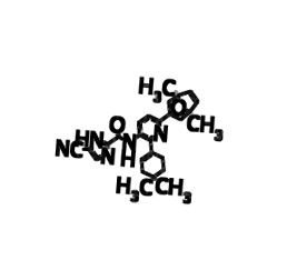 CC1(C)CC=C(c2nc(C3=C[C@@]4(C)C=C[C@@](C)(C3)O4)ccc2NC(=O)c2ncc(C#N)[nH]2)CC1